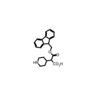 O=C(O)C(C(=O)OCC1c2ccccc2-c2ccccc21)C1CCNCC1